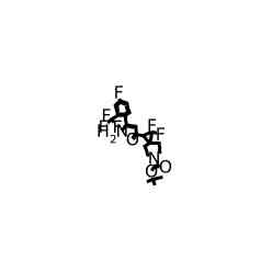 CC(C)(C)OC(=O)N1CCC2(CC1)C(C(=O)C=C(N)c1ccc(F)cc1C(F)(F)F)C2(F)F